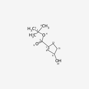 CC(C)(C)OC(=O)C1=CC(O)CC1